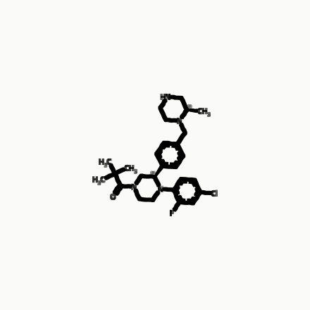 C[C@@H]1CNCCN1Cc1ccc([C@@H]2CN(C(=O)C(C)(C)C)CCN2c2ccc(Cl)cc2F)cc1